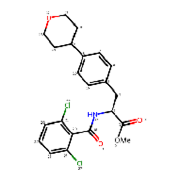 COC(=O)[C@H](Cc1ccc(C2CCOCC2)cc1)NC(=O)c1c(Cl)cccc1Cl